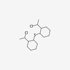 CC(Cl)C1CCCCC1SC1CCCCC1C(C)Cl